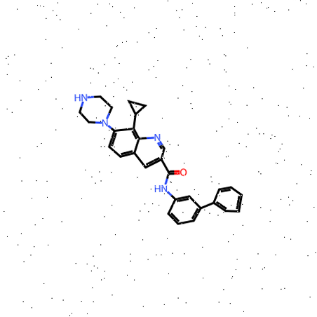 O=C(Nc1cccc(-c2ccccc2)c1)c1cnc2c(C3CC3)c(N3CCNCC3)ccc2c1